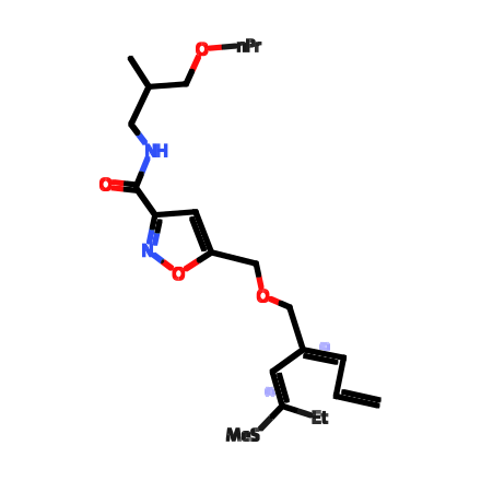 C=C/C=C(\C=C(/CC)SC)COCc1cc(C(=O)NCC(C)COCCC)no1